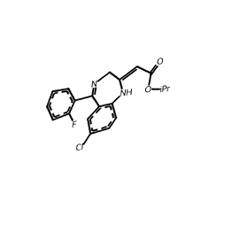 CC(C)OC(=O)C=C1CN=C(c2ccccc2F)c2cc(Cl)ccc2N1